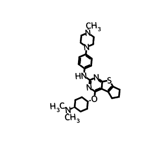 CN1CCN(c2ccc(Nc3nc(O[C@H]4CC[C@H](N(C)C)CC4)c4c5c(sc4n3)CCC5)cc2)CC1